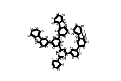 c1ccc(-c2nc(-c3cccc(-c4ccc5oc6ccccc6c5c4)c3)cc(-c3cc(-c4ccc5sc6ccccc6c5c4)cc(-c4ccc5sc6ccccc6c5c4)c3)n2)cc1